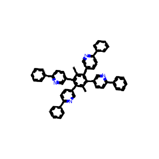 Cc1c(-c2ccc(-c3ccccc3)nc2)c(-c2ccc(-c3ccccc3)nc2)c(C)c(-c2ccc(-c3ccccc3)nc2)c1-c1ccc(-c2ccccc2)nc1